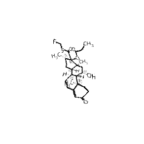 CCC(=O)O[C@]1(C(=O)SCF)[C@@H](C)C[C@H]2[C@@H]3CCC4=CC(=O)CC[C@]4(C)[C@H]3[C@@H](O)C[C@@]21C